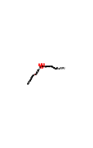 CCCCCCCCCCC#CC#CCCCCCCCCC(=O)OC(=O)CCCCCCCCC#CC#CCCCCCCCCCC